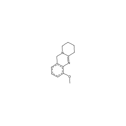 COc1cccc2c1N=C1CCCCN1C2